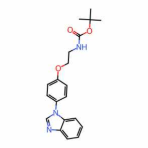 CC(C)(C)OC(=O)NCCOc1ccc(-n2cnc3ccccc32)cc1